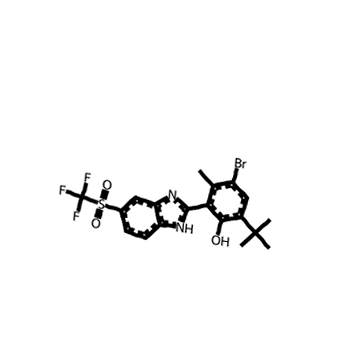 Cc1c(Br)cc(C(C)(C)C)c(O)c1-c1nc2cc(S(=O)(=O)C(F)(F)F)ccc2[nH]1